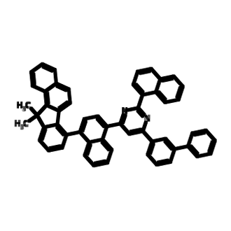 CC1(C)c2cccc(-c3ccc(-c4cc(-c5cccc(-c6ccccc6)c5)nc(-c5cccc6ccccc56)n4)c4ccccc34)c2-c2ccc3ccccc3c21